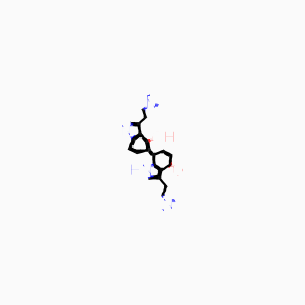 CN(C)CCC1=CN=c2ccc(=C3C=CC(=O)c4c(CCN(C)C)c[nH]c43)c(O)c21